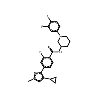 Cn1cc(C2CC2)c(-c2ccc(C(=O)NC3CCCN(c4ccc(F)c(F)c4)C3)c(F)c2)n1